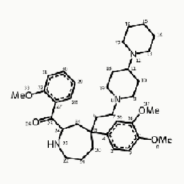 COc1ccc(C2(CCN3CCC(N4CCCCC4)CC3)CCCNC(C(=O)c3ccccc3OC)C2)cc1OC